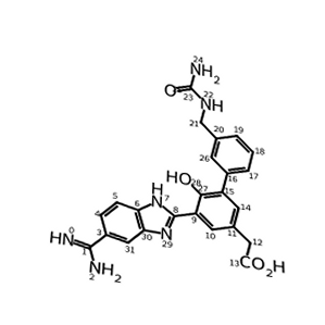 N=C(N)c1ccc2[nH]c(-c3cc(CC(=O)O)cc(-c4cccc(CNC(N)=O)c4)c3O)nc2c1